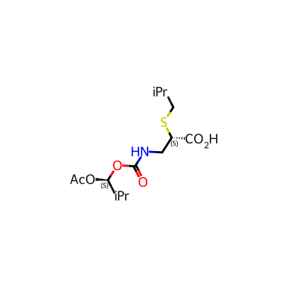 CC(=O)O[C@@H](OC(=O)NC[C@H](SCC(C)C)C(=O)O)C(C)C